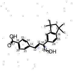 CC1(C)CC(C)(C)c2cc(C(/C=C/c3ccc(C(=O)O)cc3)=N\O)ccc21